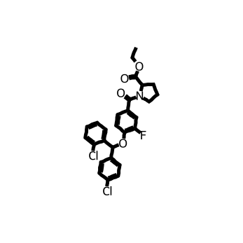 CCOC(=O)C1CCCN1C(=O)c1ccc(OC(c2ccc(Cl)cc2)c2ccccc2Cl)c(F)c1